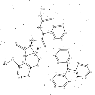 CC(C)(C)OC(=O)NC(C(=O)N[C@@H]1C(=O)N2C(C(=O)OC(C)(C)C)=C(CI)CS[C@H]12)c1ccccc1.c1ccc(P(c2ccccc2)c2ccccc2)cc1